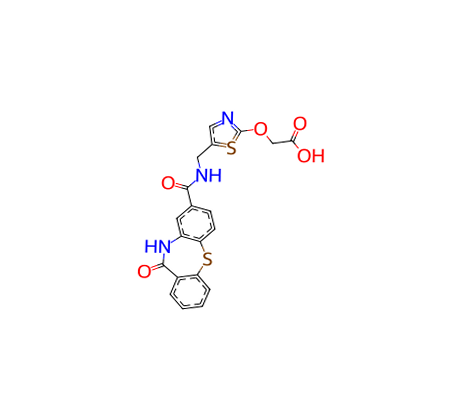 O=C(O)COc1ncc(CNC(=O)c2ccc3c(c2)NC(=O)c2ccccc2S3)s1